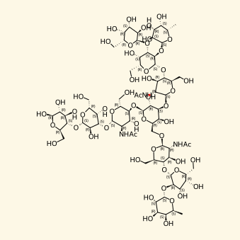 CC(=O)N[C@H]1[C@H](O[C@H]2[C@@H](O)[C@@H](CO)O[C@@H](O[C@H]3[C@H](O)[C@@H](O)[C@H](O)O[C@@H]3CO)[C@@H]2O)O[C@H](CO)[C@@H](O[C@@H]2O[C@H](CO[C@@H]3O[C@H](CO)[C@@H](O[C@@H]4O[C@H](CO)[C@H](O)[C@H](O)[C@H]4O[C@@H]4O[C@@H](C)[C@@H](O)[C@@H](O)[C@@H]4O)[C@H](O)[C@H]3NC(C)=O)[C@H](O)[C@H](O[C@@H]3O[C@H](CO)[C@@H](O[C@@H]4O[C@H](CO)[C@H](O)[C@H](O[C@H]5O[C@H](CO)[C@H](O)[C@H](O)[C@H]5O)[C@H]4O[C@@H]4O[C@@H](C)[C@@H](O)[C@@H](O)[C@@H]4O)[C@H](O)[C@H]3NC(C)=O)[C@H]2O)[C@@H]1O